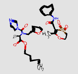 C=CCCCOC(=O)C(CC)N(Cc1ccco1)C(=O)n1ccnc1.CC1=C(C(=O)Nc2ccccc2)S(=O)(=O)CCO1